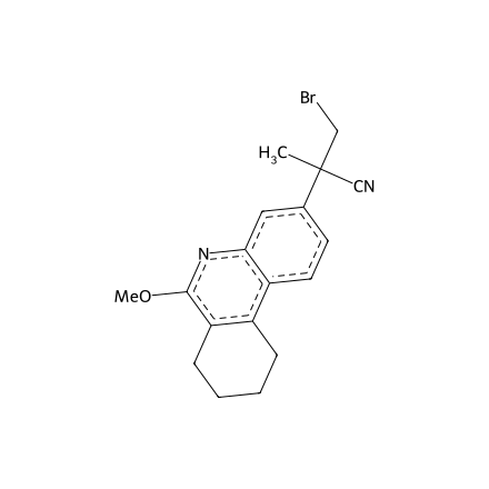 COc1nc2cc(C(C)(C#N)CBr)ccc2c2c1CCCC2